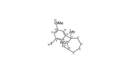 CCCC12CCCCC(Cc3c(F)cc(OC)cc31)C2O